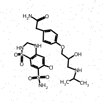 CC(C)NCC(O)COc1ccc(CC(N)=O)cc1.NS(=O)(=O)c1cc2c(cc1Cl)NCNS2(=O)=O